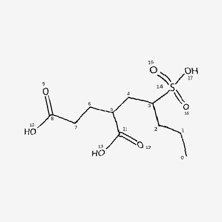 CCCC(CC(CCC(=O)O)C(=O)O)S(=O)(=O)O